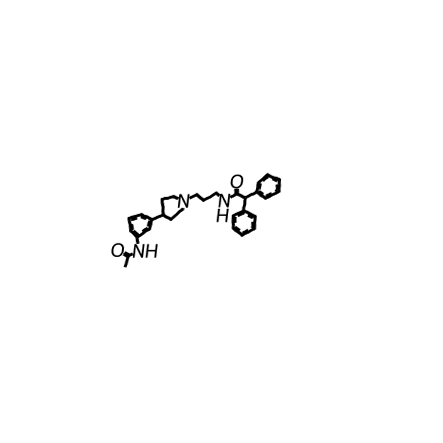 CC(=O)Nc1cccc(C2CCN(CCCNC(=O)C(c3ccccc3)c3ccccc3)CC2)c1